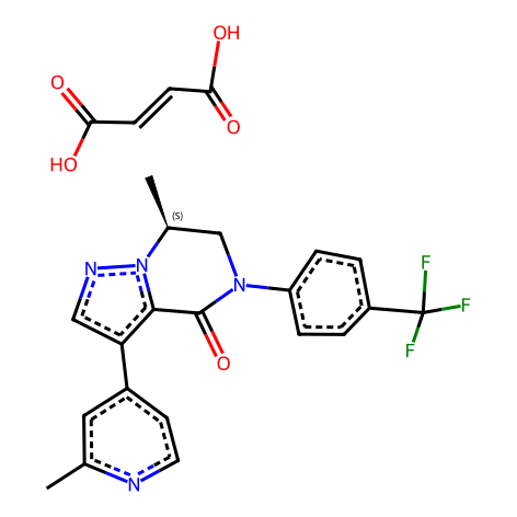 Cc1cc(-c2cnn3c2C(=O)N(c2ccc(C(F)(F)F)cc2)C[C@@H]3C)ccn1.O=C(O)C=CC(=O)O